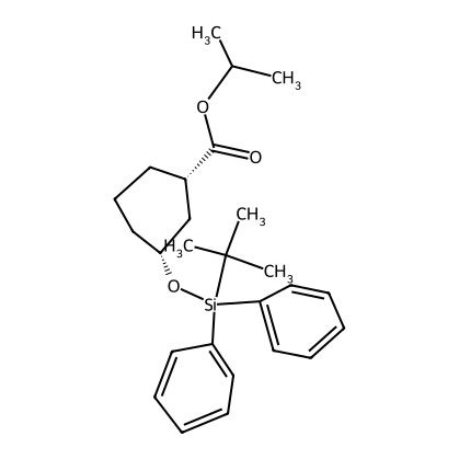 CC(C)OC(=O)[C@H]1CCC[C@@H](O[Si](c2ccccc2)(c2ccccc2)C(C)(C)C)C1